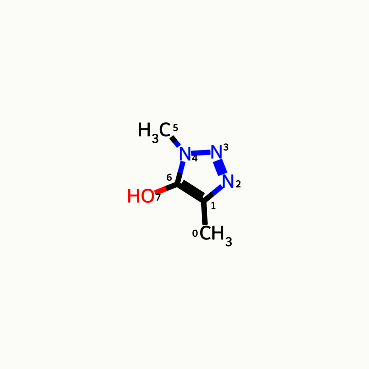 Cc1nnn(C)c1O